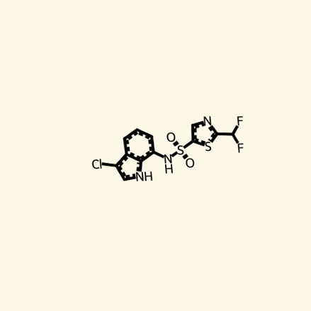 O=S(=O)(Nc1cccc2c(Cl)c[nH]c12)c1cnc(C(F)F)s1